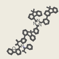 C=C(C)/C(=N\C(C(=C)C(=C)c1cccc(-c2cccc3c2-c2ccccc2C3(C)c2cccc(-c3nc(-c4cccc(-c5ccc6c(c5)-c5ccccc5C6(C)C)c4)nc(-c4cccc5c4-c4ccccc4C5(C)C)n3)c2)c1)c1cccc2c1oc1ccccc12)c1ccccc1